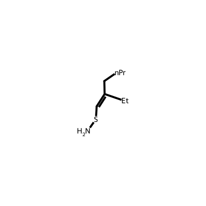 CCCC/C(=C/SN)CC